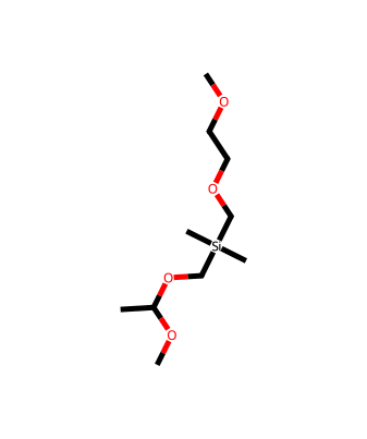 COCCOC[Si](C)(C)COC(C)OC